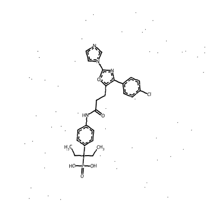 CCC(CC)(c1ccc(NC(=O)CCc2oc(-n3ccnc3)nc2-c2ccc(Cl)cc2)cc1)P(=O)(O)O